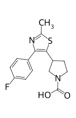 Cc1nc(-c2ccc(F)cc2)c(C2CCN(C(=O)O)C2)s1